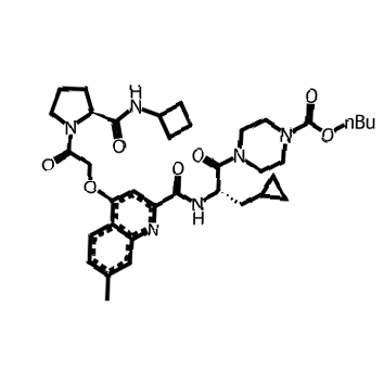 CCCCOC(=O)N1CCN(C(=O)[C@H](CC2CC2)NC(=O)c2cc(OCC(=O)N3CCC[C@H]3C(=O)NC3CCC3)c3ccc(C)cc3n2)CC1